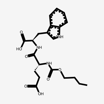 CCCCOC(=O)N[C@H](CCC(=O)O)C(=O)N[C@H](Cc1c[nH]c2ccccc12)C(=O)O